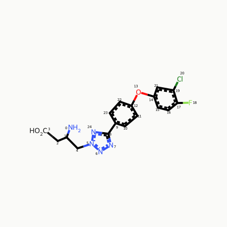 NC(CC(=O)O)Cn1nnc(-c2ccc(Oc3ccc(F)c(Cl)c3)cc2)n1